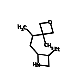 CCC1CNC1CC(C)C1(C)COC1